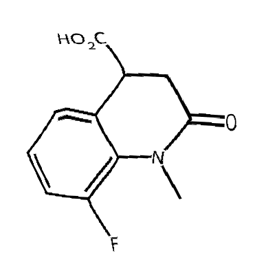 CN1C(=O)CC(C(=O)O)c2cccc(F)c21